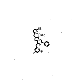 CCc1ccc(Cc2nc3c(Cc4cc(F)cc(F)c4)nc(-c4ccccc4)cn3c2OC(C)=O)o1